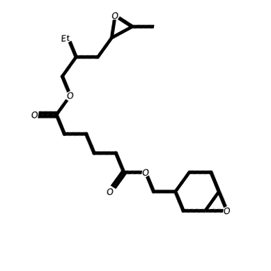 CCC(COC(=O)CCCCC(=O)OCC1CCC2OC2C1)CC1OC1C